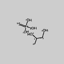 CC(O)CO.OP(O)(O)=S